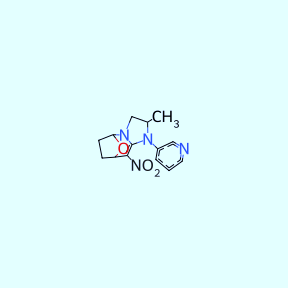 CC1CN2C(=C([N+](=O)[O-])C3CCC2O3)N1c1cccnc1